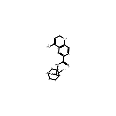 N#CC1=CCOc2ccc(C(=O)N[C@H]3CN4CCC3CC4)cc21